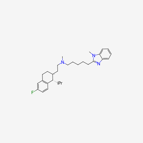 CC(C)[C@H]1[C](CCN(C)CCCCCc2nc3ccccc3n2C)CCc2cc(F)ccc21